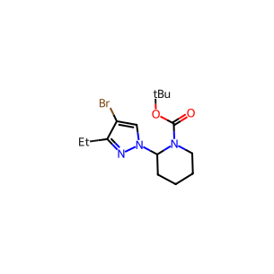 CCc1nn(C2CCCCN2C(=O)OC(C)(C)C)cc1Br